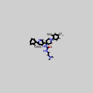 COc1ccccc1-c1ccc(C2(NC(=O)NCCN(C)C)CCN(c3ccc(C(F)(F)F)cc3C#N)CC2)cn1